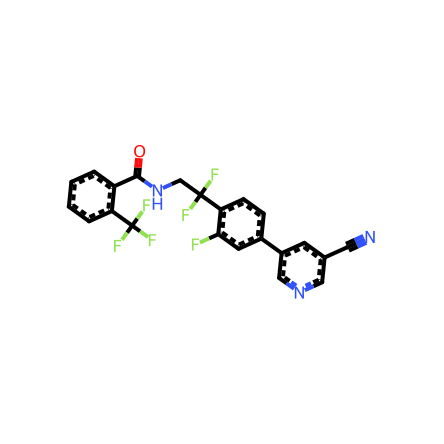 N#Cc1cncc(-c2ccc(C(F)(F)CNC(=O)c3ccccc3C(F)(F)F)c(F)c2)c1